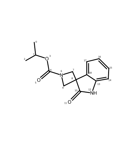 CC(C)OC(=O)N1CC2(C1)C(=O)Nc1ccccc12